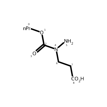 CCCOC(=O)N(N)CCC(=O)O